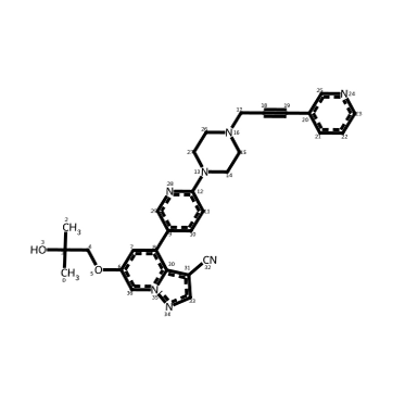 CC(C)(O)COc1cc(-c2ccc(N3CCN(CC#Cc4cccnc4)CC3)nc2)c2c(C#N)cnn2c1